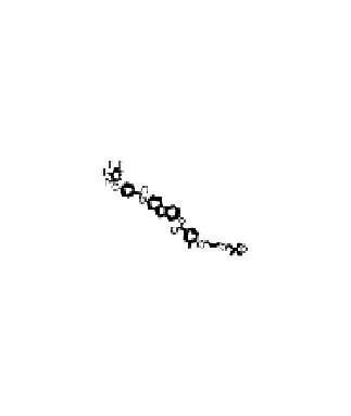 Cc1cc(C(=O)Oc2ccc3c(c2)Cc2cc(OC(=O)c4ccc(OC(F)(F)C(F)C(F)(F)F)cc4)ccc2-3)ccc1OCCCOCC1(C)COC1